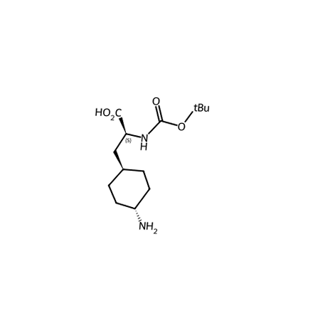 CC(C)(C)OC(=O)N[C@@H](C[C@H]1CC[C@H](N)CC1)C(=O)O